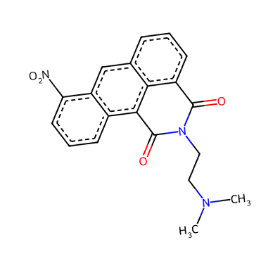 CN(C)CCN1C(=O)c2cccc3cc4c([N+](=O)[O-])cccc4c(c23)C1=O